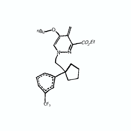 C=C1C(OCCCC)=CN(CC2(c3cccc(C(F)(F)F)c3)CCCC2)N=C1C(=O)OCC